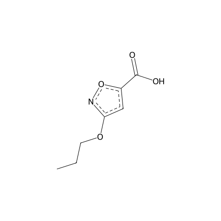 CCCOc1cc(C(=O)O)on1